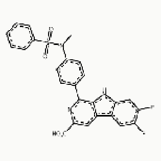 CN(c1ccc(-c2nc(C(=O)O)cc3c2[nH]c2cc(F)c(F)cc23)cc1)S(=O)(=O)c1ccccc1